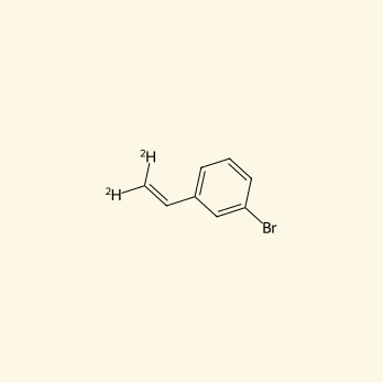 [2H]C([2H])=Cc1cccc(Br)c1